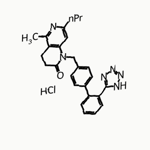 CCCc1cc2c(c(C)n1)CCC(=O)N2Cc1ccc(-c2ccccc2-c2nnn[nH]2)cc1.Cl